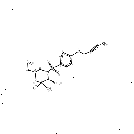 CC#CCOc1ccc(S(=O)(=O)N2C[C@H](CC(=O)O)SC(C)(C)[C@@H]2C(=O)O)cc1